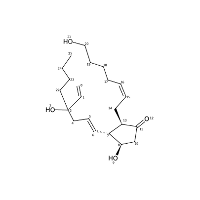 C=CC(O)(C/C=C/[C@H]1[C@H](O)CC(=O)[C@@H]1C/C=C\CCCCO)CCCC